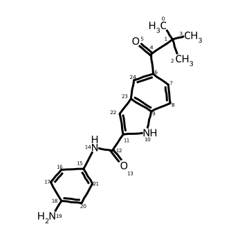 CC(C)(C)C(=O)c1ccc2[nH]c(C(=O)Nc3ccc(N)cc3)cc2c1